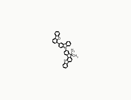 CC1(C)c2cc(-n3c4ccccc4c4cc(-c5cccc6c5oc5ccccc56)ccc43)ccc2-c2c1ccc1c2sc2ccccc21